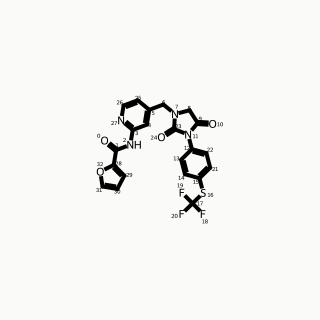 O=C(Nc1cc(CN2CC(=O)N(c3ccc(SC(F)(F)F)cc3)C2=O)ccn1)c1ccco1